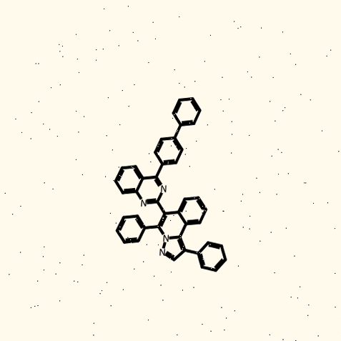 c1ccc(-c2ccc(-c3nc(-c4c(-c5ccccc5)n5ncc(-c6ccccc6)c5c5ccccc45)nc4ccccc34)cc2)cc1